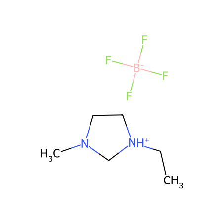 CC[NH+]1CCN(C)C1.F[B-](F)(F)F